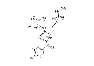 CC(C)C[C@H](NC(=O)[C@H](CCCNC(=N)N[N+](=O)[O-])NC(=O)C(C)c1ccc(Cl)cc1)B(O)O